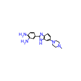 CN1CCN(c2ccc3nc(-c4ccc(N)c(N)c4)[nH]c3c2)CC1